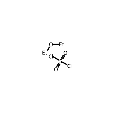 CCOCC.O=S(=O)(Cl)Cl